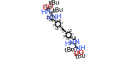 CC(C)(C)OC(=O)NC(c1ncc(-c2ccc(C#Cc3ccc(-c4cnc(C(NC(=O)OC(C)(C)C)C(C)(C)C)[nH]4)cc3)cc2)[nH]1)C(C)(C)C